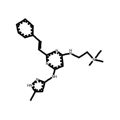 Cc1cc(Nc2cc(NCC[N+](C)(C)C)nc(/C=C/c3ccccc3)n2)n[nH]1